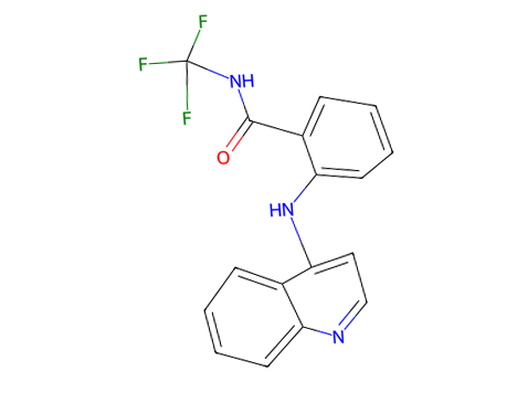 O=C(NC(F)(F)F)c1ccccc1Nc1ccnc2ccccc12